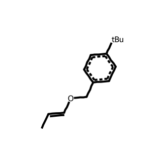 CC=COCc1ccc(C(C)(C)C)cc1